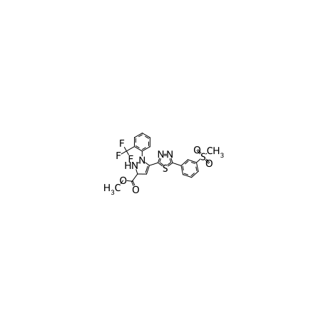 COC(=O)C1C=C(c2nnc(-c3cccc(S(C)(=O)=O)c3)s2)N(c2ccccc2C(F)(F)F)N1